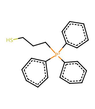 SCCC[P+](c1ccccc1)(c1ccccc1)c1ccccc1